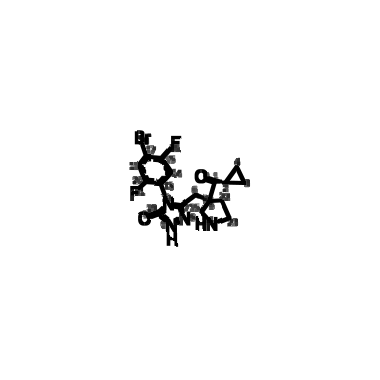 O=C(C1CC1)[C@]1(Cc2n[nH]c(=O)n2-c2cc(F)c(Br)cc2F)CCNC1